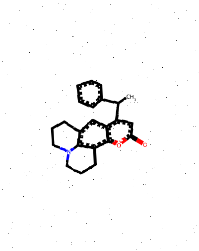 CC(c1ccccc1)c1cc(=O)oc2c3c4c(cc12)CCCN4CCC3